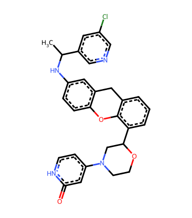 CC(Nc1ccc2c(c1)Cc1cccc(C3CN(c4cc[nH]c(=O)c4)CCO3)c1O2)c1cncc(Cl)c1